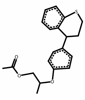 CC(=O)OCC(C)Oc1ccc(C2CCSc3ccccc32)cc1